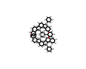 c1ccc2c(c#1)ccc1c3ccc4c(c5ccc6ccccc6c5n4-c4ccccc4)c3n(-c3nc(-c4ccccc4)nc(-n4c5c6ccccc6ccc5c5ccc6c(c7ccccc7n6-c6ccccc6)c54)n3)c21